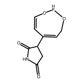 O=C1CC(C2=C/COPO/C=C\2)C(=O)N1